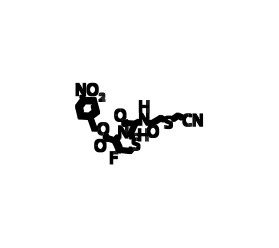 N#CCSCC(=O)NC1C(=O)N2C(C(=O)OCc3ccc([N+](=O)[O-])cc3)=C(F)CS[C@H]12